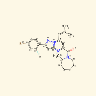 CC(C)=Cc1cc(C(=O)N2CCCCCC2C)nc2cc(-c3ccc(Br)cc3F)nn12